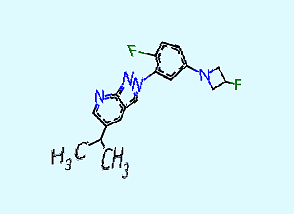 CC(C)c1cnc2nn(-c3cc(N4CC(F)C4)ccc3F)cc2c1